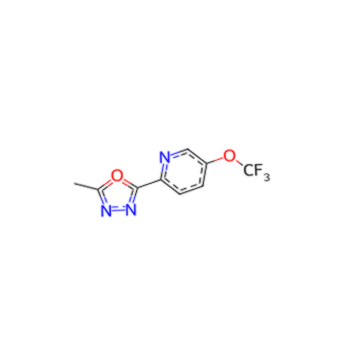 Cc1nnc(-c2ccc(OC(F)(F)F)cn2)o1